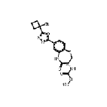 CC(C)(C)OC(=O)N[C@H]1CSc2ccc(-c3nnc(C4(C#N)CCC4)o3)cc2NC1=O